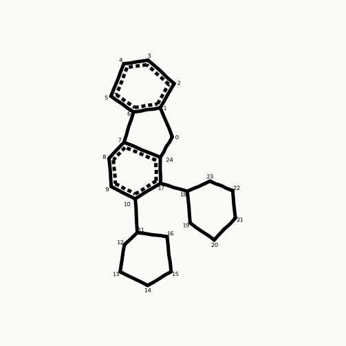 [CH]1c2ccccc2-c2ccc(C3CCCCC3)c(C3CCCCC3)c21